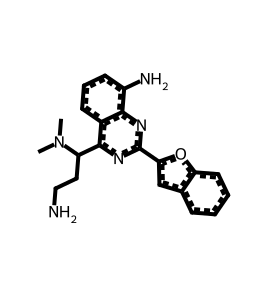 CN(C)C(CCN)c1nc(-c2cc3ccccc3o2)nc2c(N)cccc12